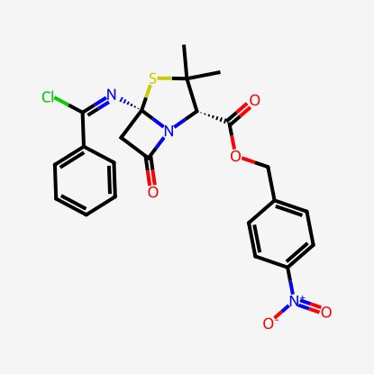 CC1(C)S[C@]2(/N=C(/Cl)c3ccccc3)CC(=O)N2[C@H]1C(=O)OCc1ccc([N+](=O)[O-])cc1